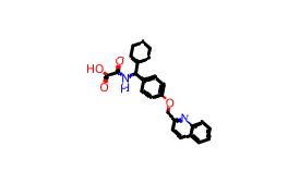 O=C(O)C(=O)NC(c1ccc(OCc2ccc3ccccc3n2)cc1)C1CCCCC1